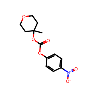 CC1(OC(=O)Oc2ccc([N+](=O)[O-])cc2)CCOCC1